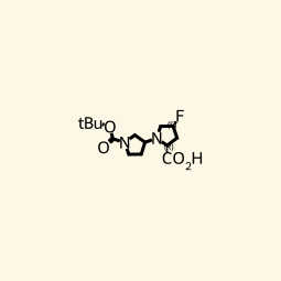 CC(C)(C)OC(=O)N1CCC(N2C[C@@H](F)C[C@@H]2C(=O)O)C1